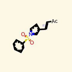 CC(=O)/C=C/c1ccn(S(=O)(=O)c2ccccc2)c1